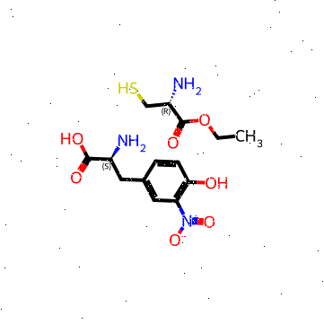 CCOC(=O)[C@@H](N)CS.N[C@@H](Cc1ccc(O)c([N+](=O)[O-])c1)C(=O)O